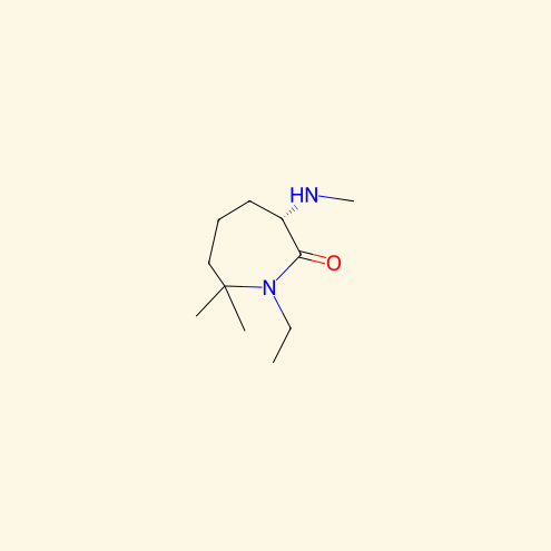 CCN1C(=O)[C@@H](NC)CCCC1(C)C